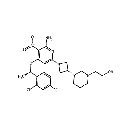 C[C@@H](Oc1cc(N2CC([C@H]3CCCN(CCO)C3)C2)nc(N)c1[N+](=O)[O-])c1ccc(Cl)cc1Cl